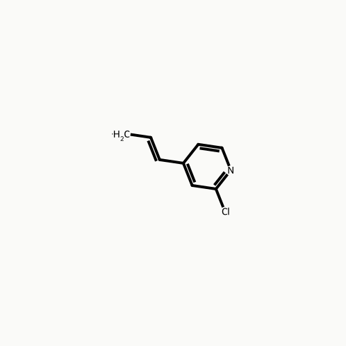 [CH2]/C=C/c1ccnc(Cl)c1